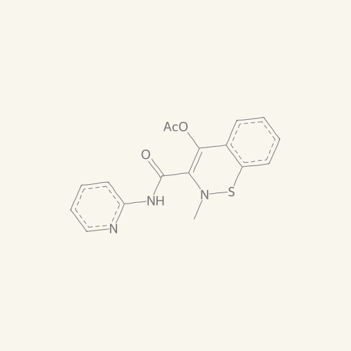 CC(=O)OC1=C(C(=O)Nc2ccccn2)N(C)Sc2ccccc21